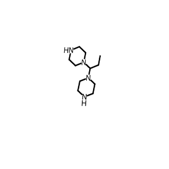 CCC(N1CCNCC1)N1CCNCC1